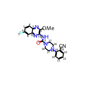 COc1nc2ccc(F)cc2nc1NC(=O)N1CCN(c2ccccc2C#N)CC1